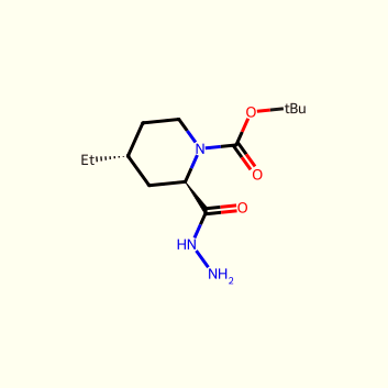 CC[C@@H]1CCN(C(=O)OC(C)(C)C)[C@@H](C(=O)NN)C1